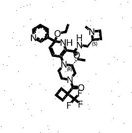 CCOC1(c2cccnc2)C=CC(N2CCN(C(=O)C3(C(F)(F)F)CCC3)C[C@H]2CC)=C(C(=O)NC[C@@H]2CCN2C)N1